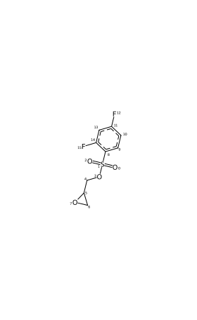 O=S(=O)(OCC1CO1)c1ccc(F)cc1F